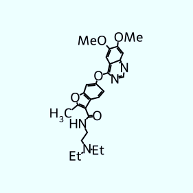 CCN(CC)CCNC(=O)c1c(C)oc2cc(Oc3ncnc4cc(OC)c(OC)cc34)ccc12